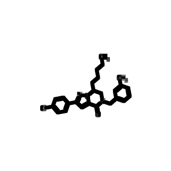 CCCCCC1CN(Cc2cccc(C)c2)C(=O)c2cc(-c3ccc(Cl)cc3)nn21